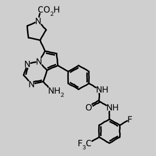 Nc1ncnn2c(C3CCN(C(=O)O)C3)cc(-c3ccc(NC(=O)Nc4cc(C(F)(F)F)ccc4F)cc3)c12